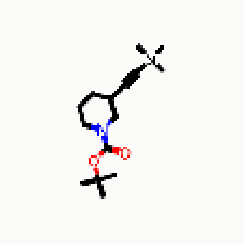 CC(C)(C)OC(=O)N1CCCC(C#C[Si](C)(C)C)C1